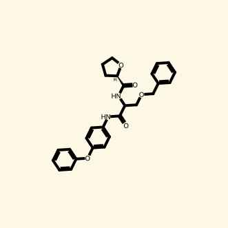 O=C(Nc1ccc(Oc2ccccc2)cc1)C(COCc1ccccc1)NC(=O)[C@H]1CCCO1